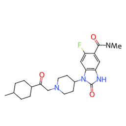 CNC(=O)c1cc2[nH]c(=O)n(C3CCN(CC(=O)C4CCC(C)CC4)CC3)c2cc1F